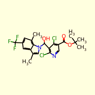 Cc1cn(C(O)c2c(Cl)ncc(C(=O)OC(C)(C)C)c2Cl)c2c(C)cc(C(F)(F)F)cc12